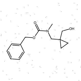 CN(CC1(CO)CC1)C(=O)OCc1ccccc1